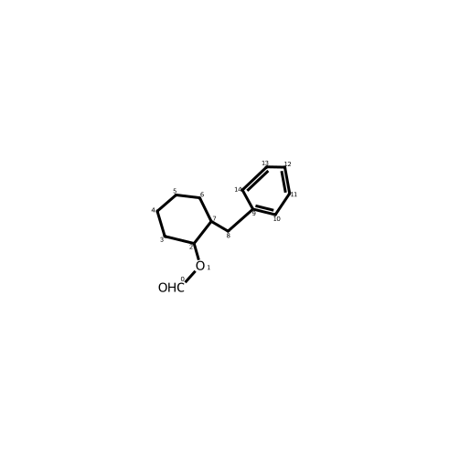 O=COC1CCCCC1Cc1ccccc1